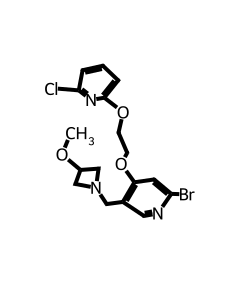 COC1CN(Cc2cnc(Br)cc2OCCOc2cccc(Cl)n2)C1